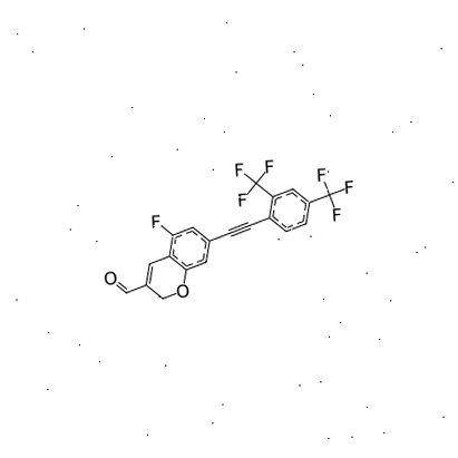 O=CC1=Cc2c(F)cc(C#Cc3ccc(C(F)(F)F)cc3C(F)(F)F)cc2OC1